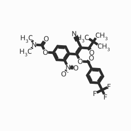 CN(C)C(=O)Oc1ccc(/C(OC(=O)c2ccc(C(F)(F)F)cc2)=C(\C#N)C(=O)C(C)(C)C)c([N+](=O)[O-])c1